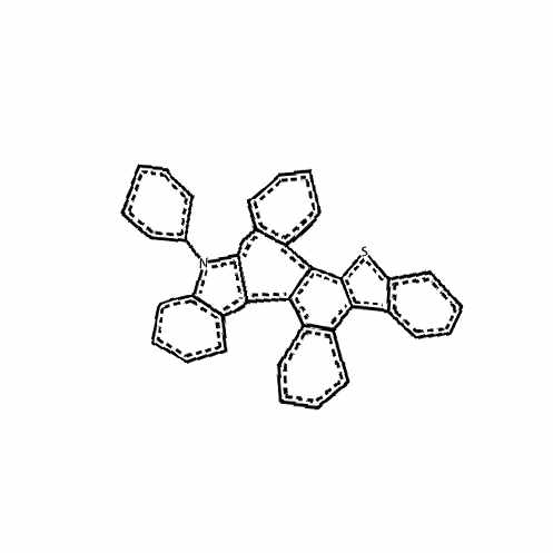 c1ccc(-n2c3ccccc3c3c4c5ccccc5c5c6ccccc6sc5c4c4ccccc4c32)cc1